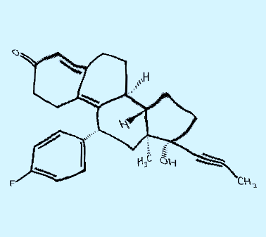 CC#C[C@]1(O)CC[C@H]2[C@@H]3CCC4=CC(=O)CCC4=C3[C@@H](c3ccc(F)cc3)C[C@@]21C